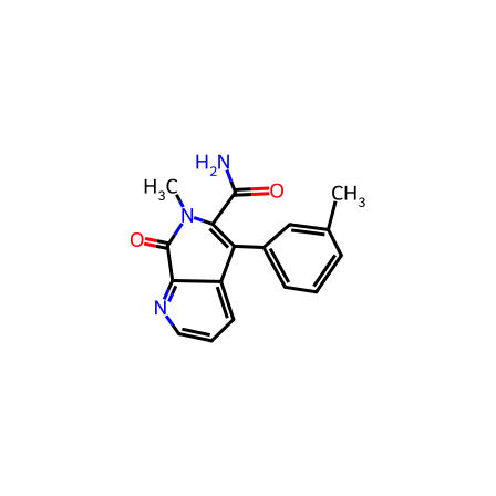 Cc1cccc(-c2c(C(N)=O)n(C)c(=O)c3ncccc23)c1